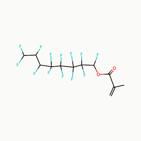 C=C(C)C(=O)OC(F)C(F)(F)C(F)(F)C(F)(F)C(F)(F)C(F)C(F)C(F)F